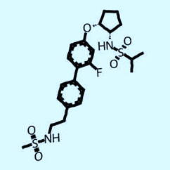 CC(C)S(=O)(=O)N[C@H]1CCC[C@H]1Oc1ccc(-c2ccc(CCNS(C)(=O)=O)cc2)c(F)c1